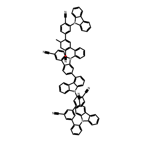 CC1CC(C#N)=C(c2ccccc2-n2c3ccc(C#N)cc3c3ccc(-c4cccc5c4c4ccccc4n5-c4cc(-c5cc(C#N)cc(-c6ccccc6-n6c7ccccc7c7cc(C#N)ccc76)c5)ccc4C#N)cc32)C=C1c1ccc(C#N)c(-n2c3ccccc3c3ccccc32)c1